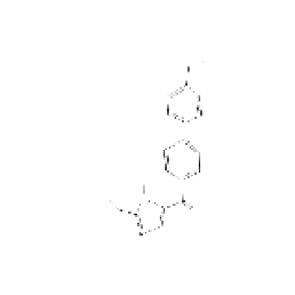 COc1ccc(-c2ccc(C(=O)c3ccc(CC(=O)O)n3C)cc2)cc1